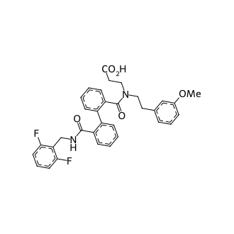 COc1cccc(CCN(CCC(=O)O)C(=O)c2ccccc2-c2ccccc2C(=O)NCc2c(F)cccc2F)c1